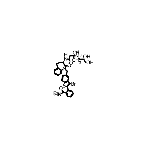 CCNC(=O)c1ccccc1-c1sc2ccc(CN3C(=O)[C@H](NC(=O)CC(C)(C)NC[C@H](O)CO)CCc4ccccc43)cc2c1Br